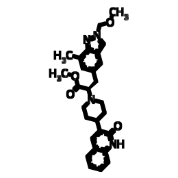 COCn1cc2cc(C[C@H](C(=O)OC)N3CCC(c4cc5ccccc5[nH]c4=O)CC3)cc(C)c2n1